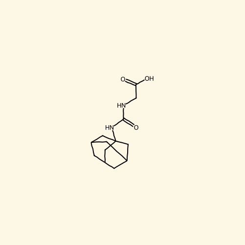 O=C(O)CNC(=O)NC12CC3CC(CC(C3)C1)C2